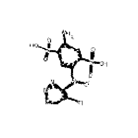 Nc1cc(S(=O)(=O)O)c(N(Cl)c2nnncc2Cl)cc1S(=O)(=O)O